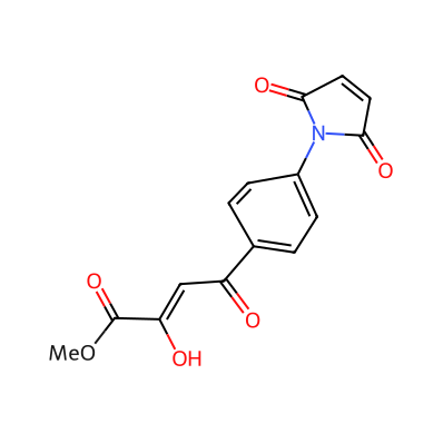 COC(=O)C(O)=CC(=O)c1ccc(N2C(=O)C=CC2=O)cc1